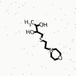 CC(O)C(O)CSCCN1CCOCC1